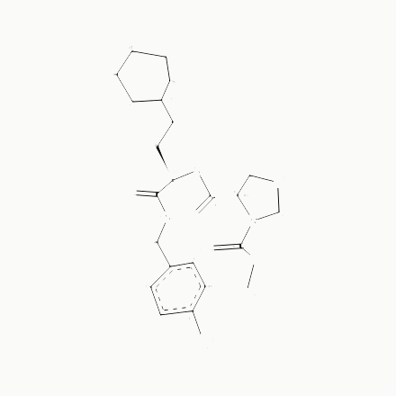 CC(C)(C)OC(=O)N1CSC[C@H]1C(=O)N[C@H](CCC1CCCCC1)C(=S)NCc1ccc(O)cc1